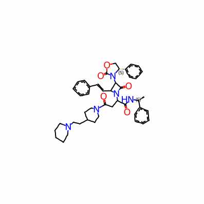 C[C@H](NC(=O)C(CC(=O)N1CCC(CCN2CCCCC2)CC1)N1C(=O)C(N2C(=O)OC[C@@H]2c2ccccc2)C1C=Cc1ccccc1)c1ccccc1